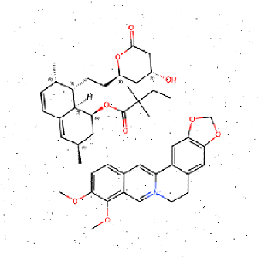 CCC(C)(C)C(=O)O[C@H]1C[C@@H](C)C=C2C=C[C@H](C)[C@H](CC[C@@H]3C[C@@H](O)CC(=O)O3)[C@H]21.COc1ccc2cc3[n+](cc2c1OC)CCc1cc2c(cc1-3)OCO2